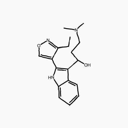 CCc1nocc1-c1[nH]c2ccccc2c1C(O)CCN(C)C